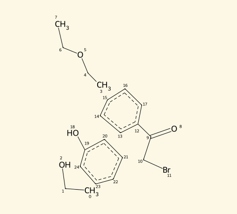 CCO.CCOCC.O=C(CBr)c1ccccc1.Oc1ccccc1